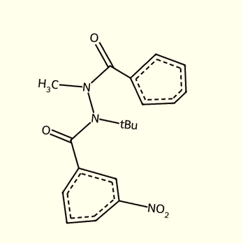 CN(C(=O)c1ccccc1)N(C(=O)c1cccc([N+](=O)[O-])c1)C(C)(C)C